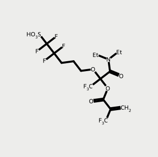 C=C(C(=O)OC(OCCCC(F)(F)C(F)(F)S(=O)(=O)O)(C(=O)N(CC)CC)C(F)(F)F)C(F)(F)F